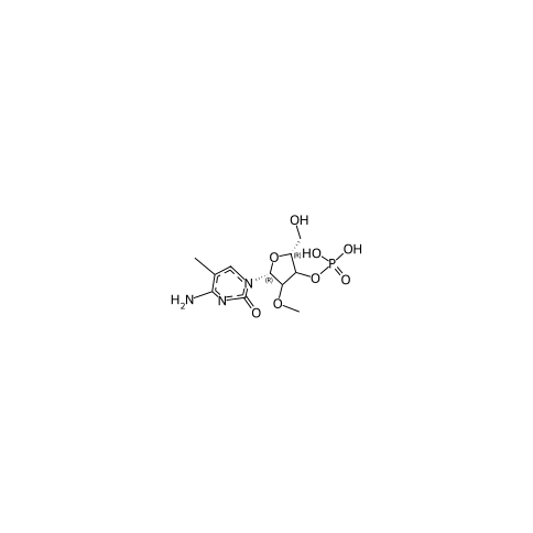 COC1C(OP(=O)(O)O)[C@@H](CO)O[C@H]1n1cc(C)c(N)nc1=O